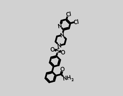 NC(=O)c1ccccc1-c1ccc(S(=O)(=O)N2CCN(c3cc(Cl)c(Cl)cn3)CC2)cc1